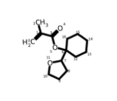 C=C(C)C(=O)OC1(C2CCCO2)CCCCC1